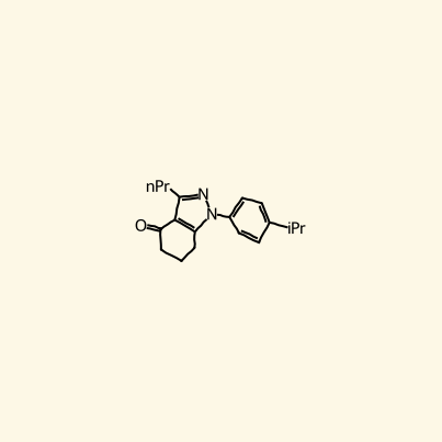 CCCc1nn(-c2ccc(C(C)C)cc2)c2c1C(=O)CCC2